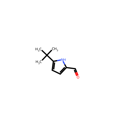 CC(C)(C)c1ccc(C=O)[nH]1